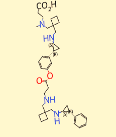 CN(CCC(=O)O)CC1(CN[C@H]2C[C@@H]2c2cccc(OC(=O)CCNCC3(CN[C@H]4C[C@@H]4c4ccccc4)CCC3)c2)CCC1